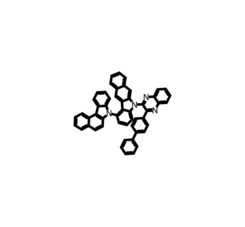 c1ccc(-c2ccc(-c3nc4ccccc4nc3-n3c4cc5ccccc5cc4c4c(-n5c6ccccc6c6c7ccccc7ccc65)cccc43)cc2)cc1